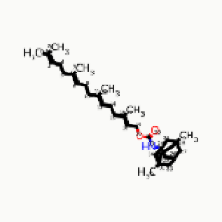 CC(C)=CCC/C(C)=C/CC/C(C)=C/CC/C(C)=C/COC(=O)NC12CC3CC(C)(CC(C)(C3)C1)C2